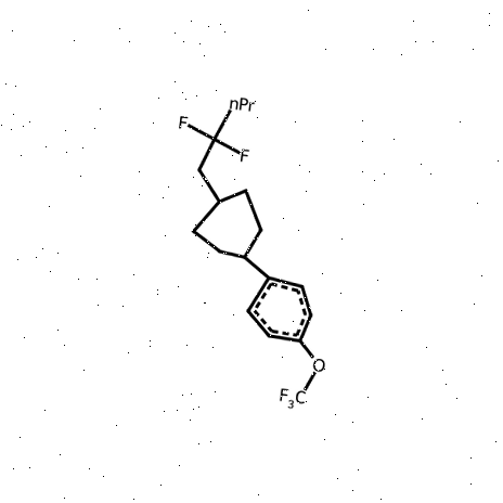 CCCC(F)(F)CC1CCC(c2ccc(OC(F)(F)F)cc2)CC1